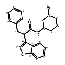 CCN1CCCC(OC(=O)C(Cc2ccccc2)c2noc3ccccc23)C1